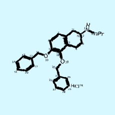 CCCN[C@H]1CCc2c(ccc(OCc3ccccc3)c2OCc2ccccc2)C1.Cl